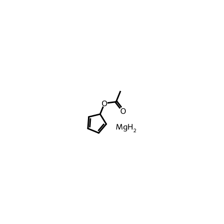 CC(=O)OC1C=CC=C1.[MgH2]